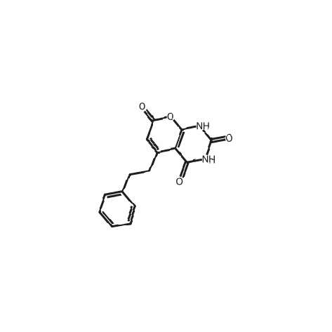 O=c1[nH]c(=O)c2c(CCc3ccccc3)cc(=O)oc2[nH]1